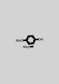 COC.COc1ccc(O)cc1